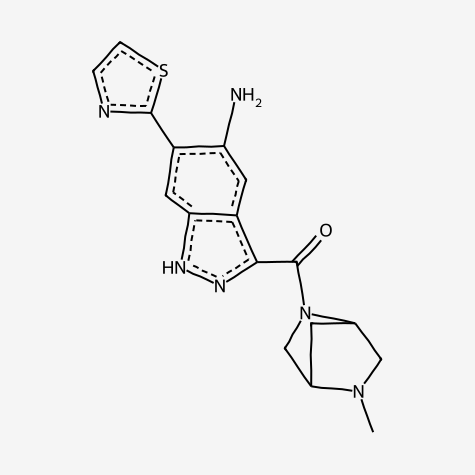 CN1CC2CC1CN2C(=O)c1n[nH]c2cc(-c3nccs3)c(N)cc12